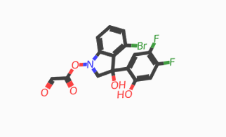 O=CC(=O)ON1CC(O)(c2cc(F)c(F)cc2O)c2c(Br)cccc21